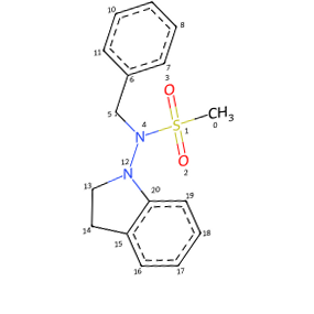 CS(=O)(=O)N([CH]c1ccccc1)N1CCc2ccccc21